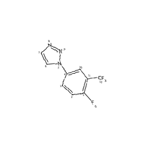 Fc1ccc(-n2c[c]nn2)cc1C(F)(F)F